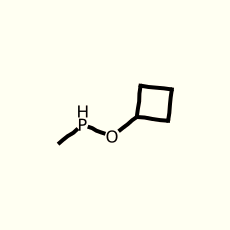 CPOC1CCC1